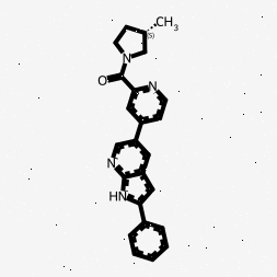 C[C@H]1CCN(C(=O)c2cc(-c3cnc4[nH]c(-c5ccccc5)cc4c3)ccn2)C1